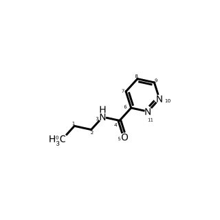 CCCNC(=O)c1cccnn1